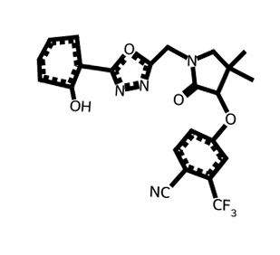 CC1(C)CN(Cc2nnc(-c3ccccc3O)o2)C(=O)C1Oc1ccc(C#N)c(C(F)(F)F)c1